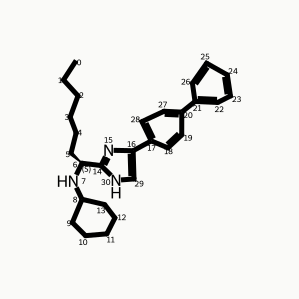 CCCCCC[C@H](NC1CCCCC1)c1nc(-c2ccc(-c3ccccc3)cc2)c[nH]1